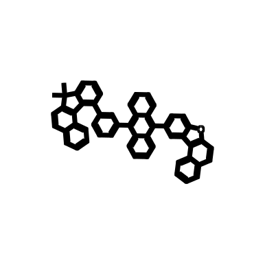 CC1(C)c2cccc(-c3cccc(-c4c5ccccc5c(-c5ccc6oc7ccc8ccccc8c7c6c5)c5ccccc45)c3)c2-c2c1ccc1ccccc21